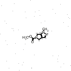 COC(=O)N1Cc2cnn(C)c2C1